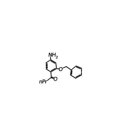 CCCC(=O)c1ccc(N)cc1OCc1ccccc1